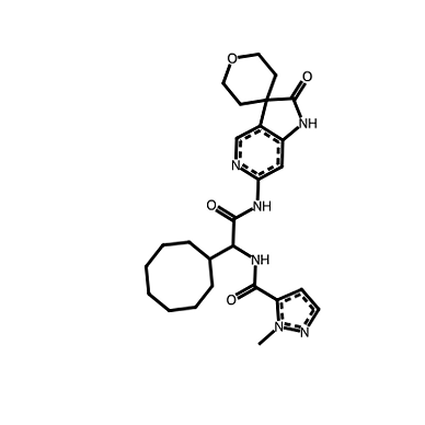 Cn1nccc1C(=O)NC(C(=O)Nc1cc2c(cn1)C1(CCOCC1)C(=O)N2)C1CCCCCCC1